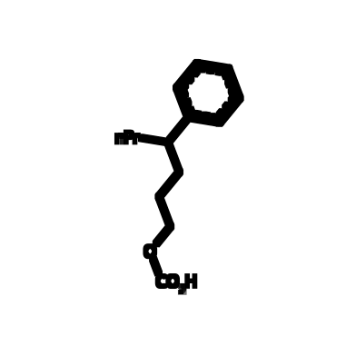 CCCC(CCCOC(=O)O)c1ccccc1